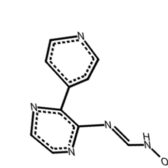 ON/C=N/c1nccnc1-c1ccncc1